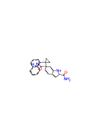 NC(=O)C1C=C2C=CC(C(N)=O)(C3(c4cccc5ccccc45)CC3)C=C2N1